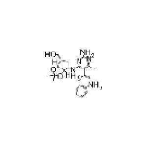 C=C(Sc1ccccc1N)c1c(C)nc(N)nc1N[C@@H]1C[C@H](CO)[C@H]2OC(C)(C)O[C@H]21